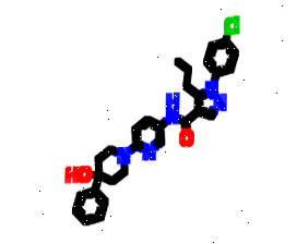 CCCc1c(C(=O)Nc2ccc(N3CCC(O)(c4ccccc4)CC3)nc2)cnn1-c1ccc(Cl)cc1